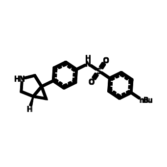 CCCCc1ccc(S(=O)(=O)Nc2ccc(C34CNC[C@H]3C4)cc2)cc1